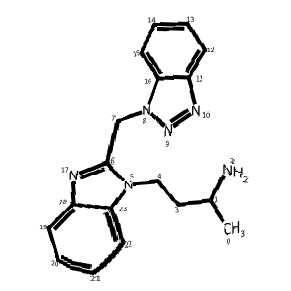 CC(N)CCn1c(Cn2nnc3ccccc32)nc2ccccc21